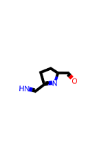 N=CC1=NC(C=O)CC1